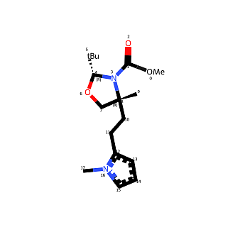 COC(=O)N1[C@@H](C(C)(C)C)OC[C@@]1(C)CCc1cccn1C